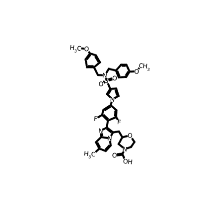 COc1ccc(CN(Cc2ccc(OC)cc2)S(=O)(=O)c2ccn(-c3cc(F)c(-c4nc5cc(C)ccn5c4CC4CN(C(=O)O)CCO4)c(F)c3)c2)cc1